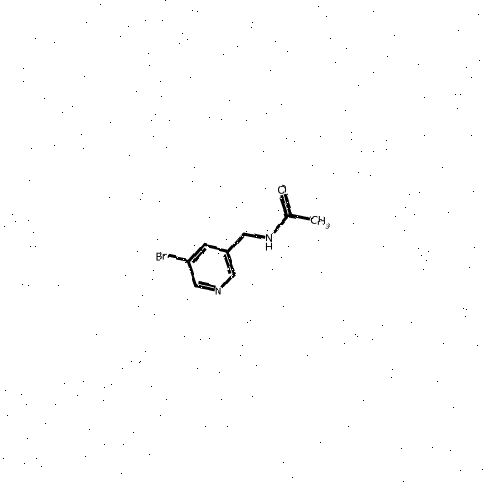 CC(=O)NCc1cncc(Br)c1